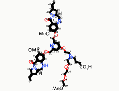 C/C=C1\C[C@H]2CNc3cc(OCc4cc(OCCN(CCCC(=O)O)CCOCCOCCOC)cc(COc5cc6c(cc5OC)C(=O)N5C/C(=C/C)C[C@H]5C=N6)n4)c(OC)cc3C(=O)N2C1